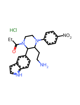 CCC(=O)N1CCN(c2ccc([N+](=O)[O-])cc2)C(CCN)C1c1ccc2[nH]ccc2c1.Cl